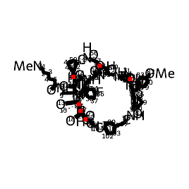 CNCCCCCC(=O)NCC1NC(=O)[C@H](C)NC(=O)CCC(=O)N2CCCCCCn3cc(c4cc(F)ccc43)CC3NC(=O)[C@H](Cc4cccc(c4)CNC(=O)CO[C@H]4CCN(C3=O)C4C(=O)N[C@@H]([C@@H](C)O)C(=O)N[C@@H](Cc3ccc(OC)cc3)C(=O)N3CCC[C@@]3(C)C(=O)NCCc3ccc(cc3)C2)NC1=O